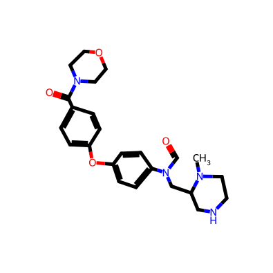 CN1CCNCC1CN(C=O)c1ccc(Oc2ccc(C(=O)N3CCOCC3)cc2)cc1